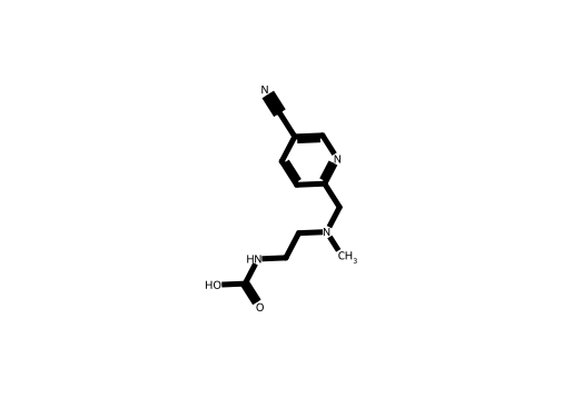 CN(CCNC(=O)O)Cc1ccc(C#N)cn1